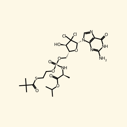 CC(C)OC(=O)[C@H](C)NP(=O)(OCCSC(=O)C(C)(C)C)OC[C@H]1O[C@@H](n2cnc3c(=O)[nH]c(N)nc32)C(Cl)(Cl)[C@@H]1O